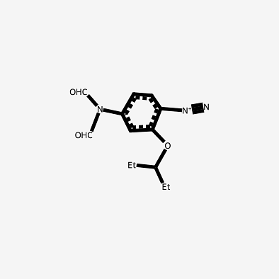 CCC(CC)Oc1cc(N(C=O)C=O)ccc1[N+]#N